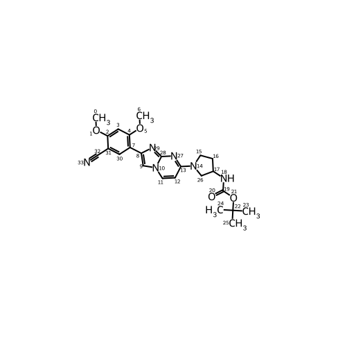 COc1cc(OC)c(-c2cn3ccc(N4CCC(NC(=O)OC(C)(C)C)C4)nc3n2)cc1C#N